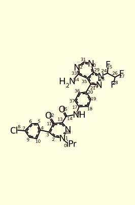 CC(C)n1cc(-c2ccc(Cl)cc2)c(=O)c(C(=O)Nc2ccc(-c3nn(C(F)C(F)F)c4ncnc(N)c34)cc2)n1